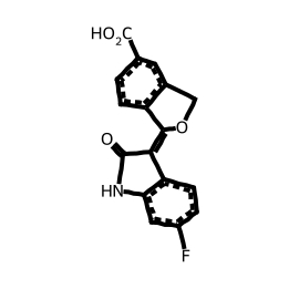 O=C1Nc2cc(F)ccc2C1=C1OCc2cc(C(=O)O)ccc21